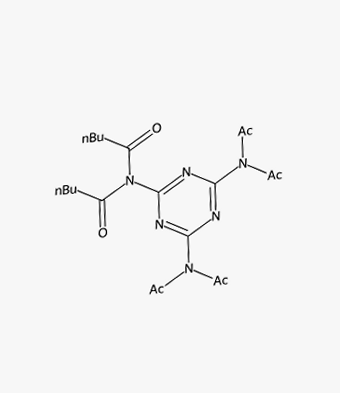 CCCCC(=O)N(C(=O)CCCC)c1nc(N(C(C)=O)C(C)=O)nc(N(C(C)=O)C(C)=O)n1